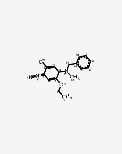 CCOC1=CC(=[N+]=[N-])C(Cl)=CC1N(C)Cc1ccccc1